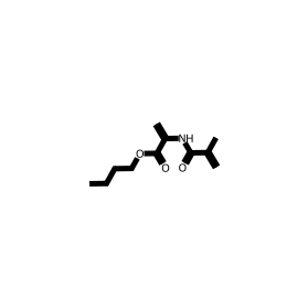 C=C(C)C(=O)NC(=C)C(=O)OCCCC